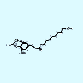 CCCCCCCCCCCCCCCCCCOC(=O)CCc1cc(C(C)(C)C)c(OP(O)O)c(C(C)(C)C)c1